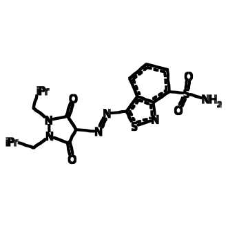 CC(C)CN1C(=O)C(/N=N/c2snc3c(S(N)(=O)=O)cccc23)C(=O)N1CC(C)C